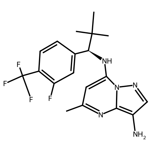 Cc1cc(N[C@@H](c2ccc(C(F)(F)F)c(F)c2)C(C)(C)C)n2ncc(N)c2n1